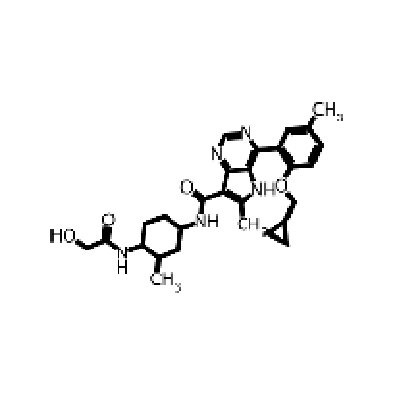 Cc1ccc(OCC2CC2)c(-c2ncnc3c(C(=O)NC4CCC(NC(=O)CO)C(C)C4)c(C)[nH]c23)c1